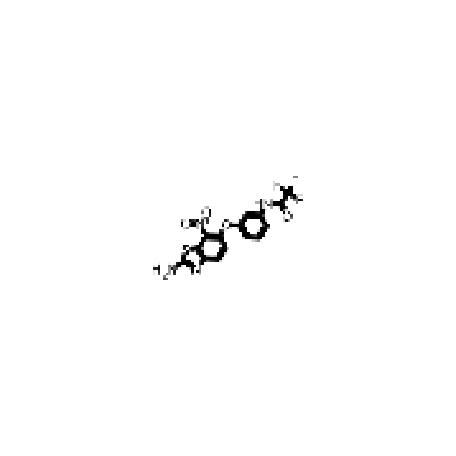 Nc1nc2ccc(Oc3cccc(NC(=O)C(F)(F)F)c3)c([N+](=O)[O-])c2s1